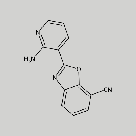 N#Cc1cccc2nc(-c3cccnc3N)oc12